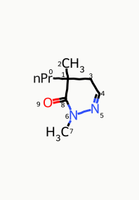 CCCC1(C)CC=NN(C)C1=O